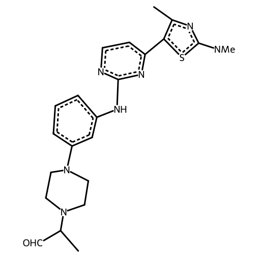 CNc1nc(C)c(-c2ccnc(Nc3cccc(N4CCN(C(C)C=O)CC4)c3)n2)s1